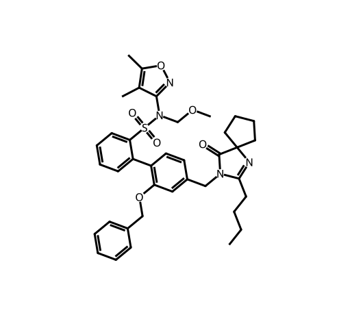 CCCCC1=NC2(CCCC2)C(=O)N1Cc1ccc(-c2ccccc2S(=O)(=O)N(COC)c2noc(C)c2C)c(OCc2ccccc2)c1